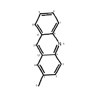 Cc1ccc2nc3ccccc3cc2c1